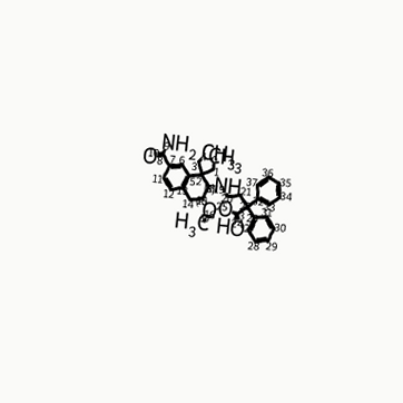 CCC1(CC)c2cc(C(N)=O)ccc2C[C@@H](OC)[C@H]1NCCC(C(=O)O)(c1ccccc1)c1ccccc1